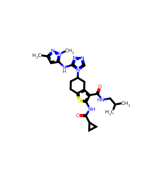 Cc1cc(Nc2nncn2C2CCc3sc(NC(=O)C4CC4)c(C(=O)NCC(C)C)c3C2)n(C)n1